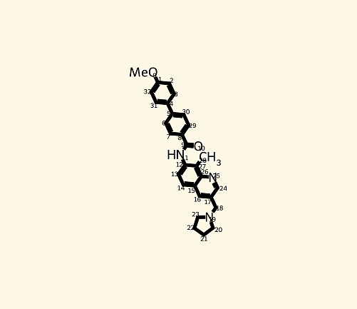 COc1ccc(-c2ccc(C(=O)Nc3ccc4cc(CN5CCCC5)cnc4c3C)cc2)cc1